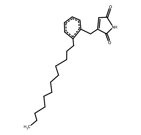 CCCCCCCCCCCCc1ccccc1CC1=CC(=O)NC1=O